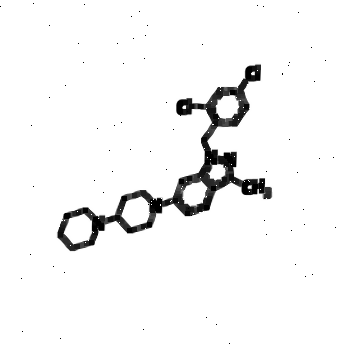 Cc1nn(Cc2ccc(Cl)cc2Cl)c2cc(N3CCC(N4CCCCC4)CC3)ccc12